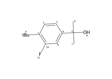 CC(C)(C)c1ccc(C(C)(C)O)cc1F